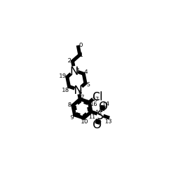 CCCN1CCN(c2cccc(S(C)(=O)=O)c2Cl)CC1